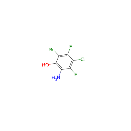 Nc1c(O)c(Br)c(F)c(Cl)c1F